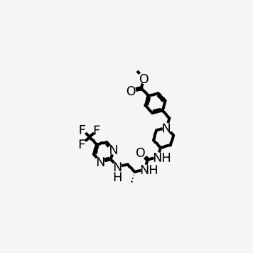 COC(=O)c1ccc(CN2CCC(NC(=O)N[C@H](C)CNc3ncc(C(F)(F)F)cn3)CC2)cc1